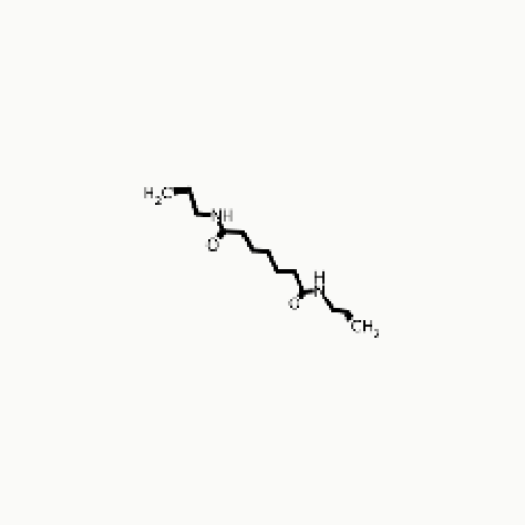 C=CCNC(=O)CCCCCC(=O)NCC=C